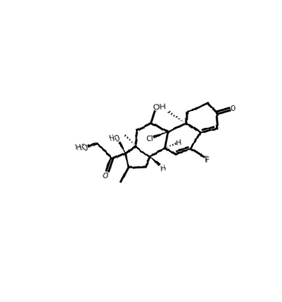 CC1C[C@H]2[C@@H]3C=C(F)C4=CC(=O)CC[C@]4(C)[C@@]3(Cl)C(O)C[C@]2(C)[C@@]1(O)C(=O)CO